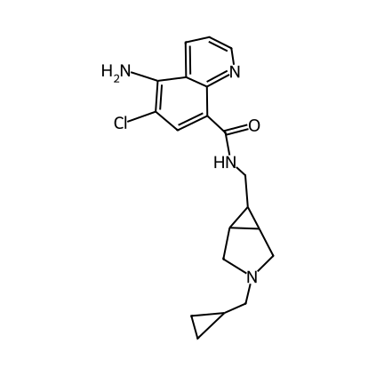 Nc1c(Cl)cc(C(=O)NCC2C3CN(CC4CC4)CC23)c2ncccc12